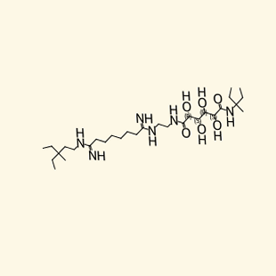 CCC(C)(CC)CCNC(=N)CCCCCCC(=N)NCCNC(=O)[C@H](O)[C@@H](O)[C@@H](O)[C@H](O)C(=O)NC(C)(CC)CC